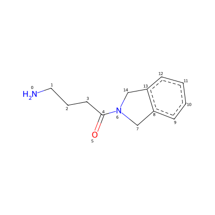 NCCCC(=O)N1Cc2ccccc2C1